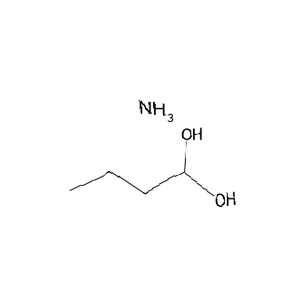 CCCC(O)O.N